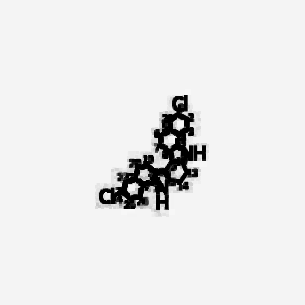 Clc1ccc2c(ccc3c4c([nH]c32)CCc2[nH]c3c(ccc5cc(Cl)ccc53)c2-4)c1